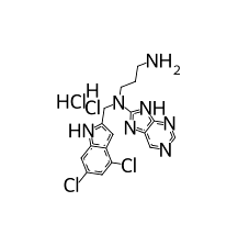 Cl.Cl.NCCCN(Cc1cc2c(Cl)cc(Cl)cc2[nH]1)c1nc2cncnc2[nH]1